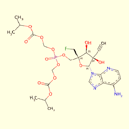 C#C[C@@]1(O)[C@H](O)[C@@](CF)(COP(=O)(OCOC(=O)OC(C)C)OCOC(=O)OC(C)C)O[C@H]1n1cnc2c(N)ccnc21